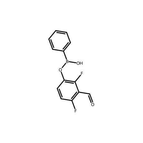 O=Cc1c(F)ccc(OB(O)c2ccccc2)c1F